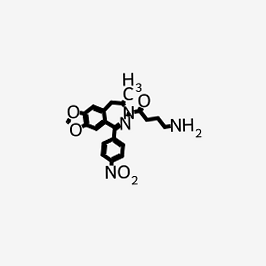 CC1Cc2cc3c(cc2C(c2ccc([N+](=O)[O-])cc2)=NN1C(=O)CCCN)OCO3